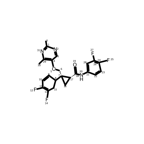 Cc1ncc(OC[C@@]2(C3C=CC(F)=C(F)C3)C[C@H]2C(=O)Nc2ccc(F)c(F)c2)c(C)n1